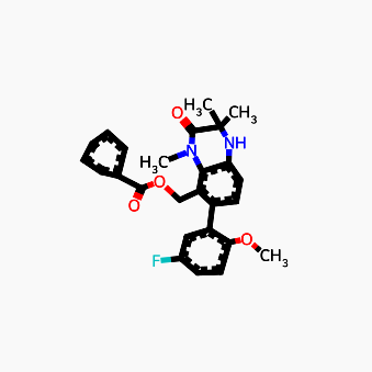 COc1ccc(F)cc1-c1ccc2c(c1COC(=O)c1ccccc1)N(C)C(=O)C(C)(C)N2